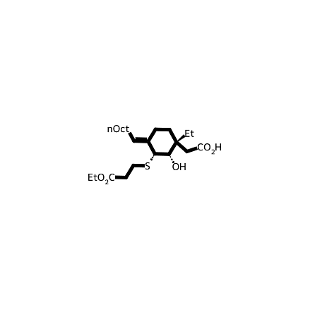 CCCCCCCCC=C1CC[C@](CC)(CC(=O)O)[C@H](O)[C@@H]1SCCC(=O)OCC